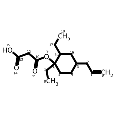 C=CCC1CCC(CC)(OC(=O)CC(=O)O)C(CC)C1